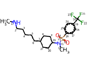 CNCCCCCC1CCC(N(C)S(=O)(=O)c2ccc(C(F)(F)F)cc2)CC1